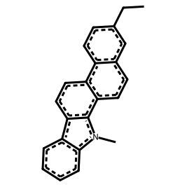 CCc1ccc2c(ccc3c2ccc2c4ccccc4n(C)c32)c1